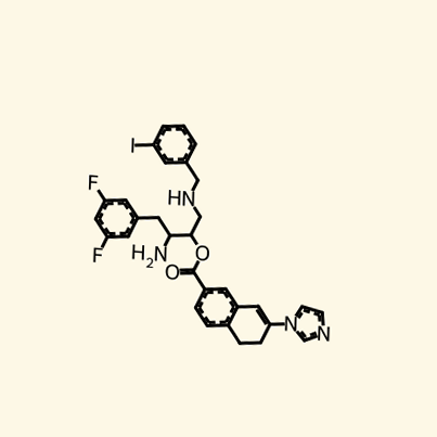 NC(Cc1cc(F)cc(F)c1)C(CNCc1cccc(I)c1)OC(=O)c1ccc2c(c1)C=C(n1ccnc1)CC2